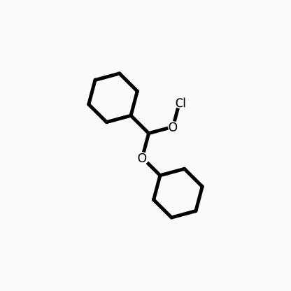 ClOC(OC1CCCCC1)C1CCCCC1